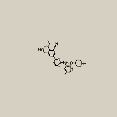 CCNc1c(C#N)cc(-c2ccnc(Nc3cc(C)cnc3OC3CCN(C)CC3)n2)cc1CO